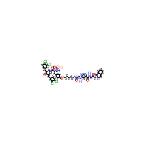 O=C(O)NC(Cc1ccc(OCCCCCCNC(=O)CNc2cc(C(=O)NCC(O)CN3CCc4ccccc4C3)ncn2)cc1)C(=O)N1C/C(=C\c2ccc(Cl)c(Cl)c2)C(=O)/C(=C/c2ccc(Cl)c(Cl)c2)C1